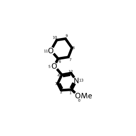 COc1ccc(OC2CCCCO2)cn1